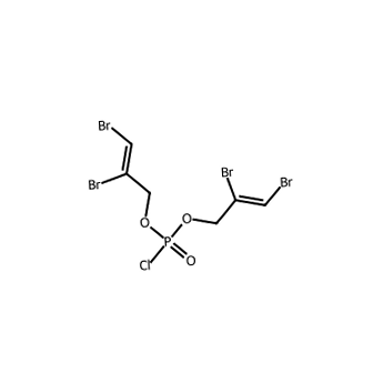 O=P(Cl)(OCC(Br)=CBr)OCC(Br)=CBr